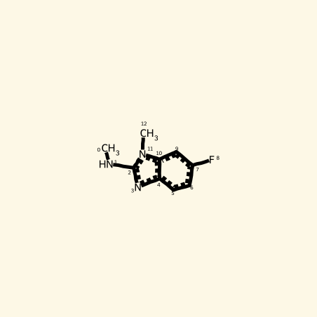 CNc1nc2ccc(F)cc2n1C